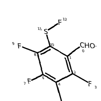 O=[C]c1c(F)c(F)c(F)c(F)c1SF